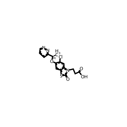 C[C@@H](Oc1cc2sc(=O)n(CCC(=O)O)c2cc1Cl)c1cccnn1